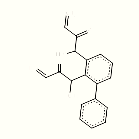 C=CC(=O)C(C)c1cccc(-c2ccccc2)c1C(C)C(=O)C=C